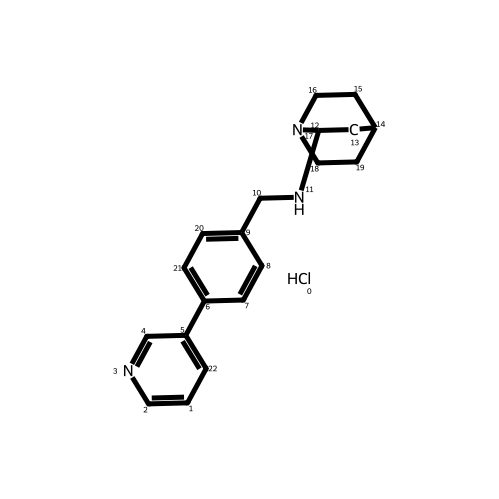 Cl.c1cncc(-c2ccc(CNC3CC4CCN3CC4)cc2)c1